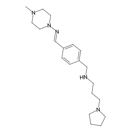 CN1CCN(N=Cc2ccc(CNCCCN3CCCC3)cc2)CC1